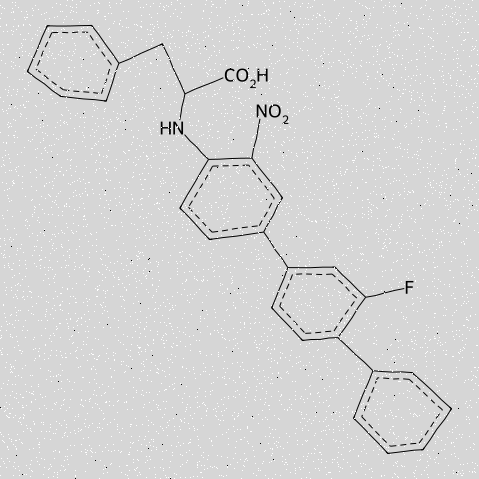 O=C(O)C(Cc1ccccc1)Nc1ccc(-c2ccc(-c3ccccc3)c(F)c2)cc1[N+](=O)[O-]